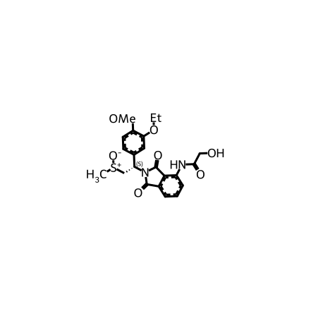 CCOc1cc([C@@H](C[S+](C)[O-])N2C(=O)c3cccc(NC(=O)CO)c3C2=O)ccc1OC